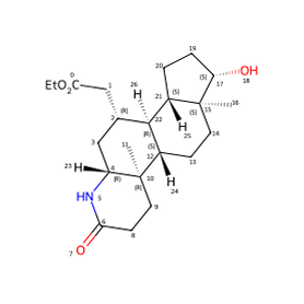 CCOC(=O)C[C@H]1C[C@H]2NC(=O)CC[C@]2(C)[C@H]2CC[C@]3(C)[C@@H](O)CC[C@H]3[C@H]12